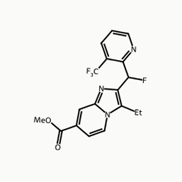 CCc1c(C(F)c2ncccc2C(F)(F)F)nc2cc(C(=O)OC)ccn12